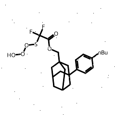 CCCCc1ccc(C23CC4CC(CC(COC(=O)C(F)(F)SOOO)(C4)C2)C3)cc1